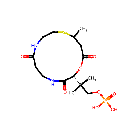 CC1CC(=O)O[C@H](C(C)(C)COP(=O)(O)O)C(=O)NCCC(=O)NCCS1